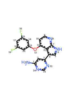 Nc1cc(-c2c[nH]c3nccc(Oc4cc(F)cc(F)c4)c23)ncn1